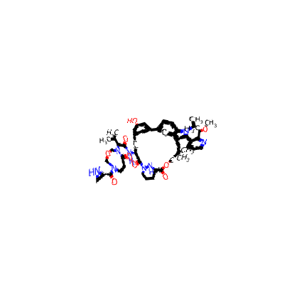 CCn1c(-c2cccnc2[C@H](C)OC)c2c3cc(ccc31)-c1cc(O)cc(c1)C[C@H](NC(=O)C(C(C)C)N1COCN(C(=O)[C@H]3CN3)CCC1=O)C(=O)N1CCC[C@H](N1)C(=O)OCC(C)(C)C2